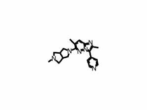 Cc1cc2nc(C)c(-c3ccncc3)n2nc1N1CC2CN(C)CC2C1